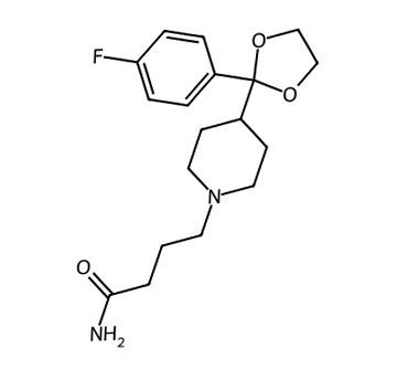 NC(=O)CCCN1CCC(C2(c3ccc(F)cc3)OCCO2)CC1